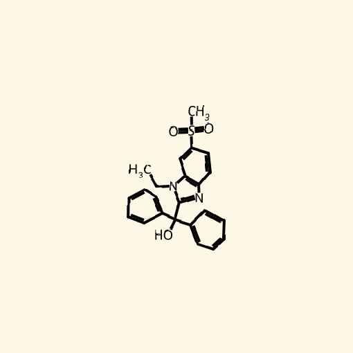 CCn1c(C(O)(c2ccccc2)c2ccccc2)nc2ccc(S(C)(=O)=O)cc21